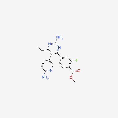 CCc1nc(N)nc(-c2ccc(C(=O)OC)c(F)c2)c1-c1ccc(N)nc1